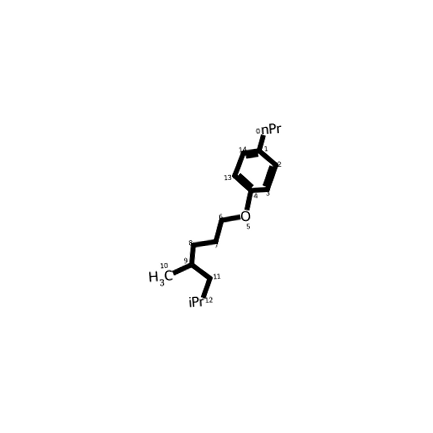 CCCc1ccc(OCCCC(C)CC(C)C)cc1